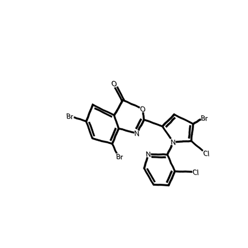 O=c1oc(-c2cc(Br)c(Cl)n2-c2ncccc2Cl)nc2c(Br)cc(Br)cc12